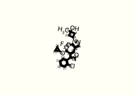 CC1(O)CC(n2ncc(-c3onc(-c4ccccc4Cl)c3C(=O)OC3CC3)c2C(F)(F)F)C1